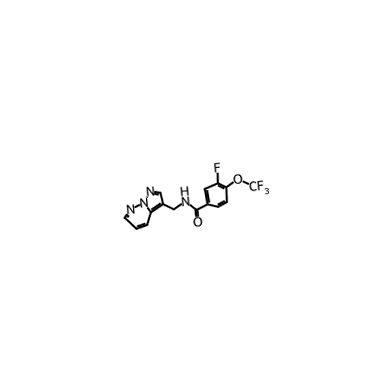 O=C(NCc1cnn2ncccc12)c1ccc(OC(F)(F)F)c(F)c1